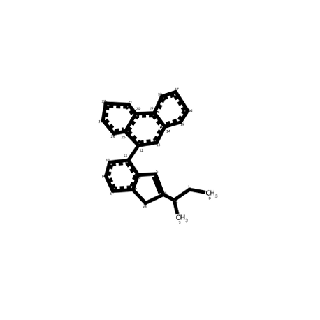 CCC(C)C1=Cc2c(cccc2-c2cc3ccccc3c3ccccc23)[CH]1